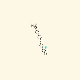 C/C=C/C1CCC(C2CCC(CCC3CC=C(c4ccc(CC)c(F)c4F)CC3)CC2)CC1